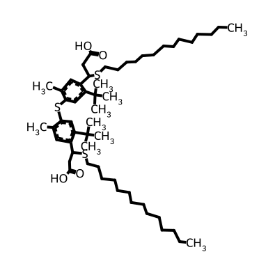 CCCCCCCCCCCCCCSC(CC(=O)O)c1cc(C)c(Sc2cc(C(C)(C)C)c(C(CC(=O)O)SCCCCCCCCCCCCCC)cc2C)cc1C(C)(C)C